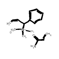 C=CC(N)=O.C=CC(c1ccccc1)[N+](C)(C)C.[Cl-]